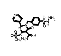 CS(=O)(=O)Sc1nc(-c2ccncc2)n(Cc2ccc(S(=O)(=O)NN)cc2)c(=O)c1C(=N)N